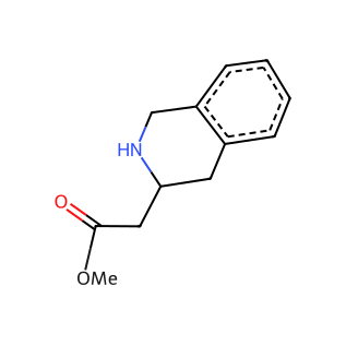 COC(=O)CC1Cc2ccccc2CN1